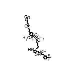 COc1cc(/C=C/COC(=O)CCCO[N+](=O)[O-])ccc1OC(=O)C(C)NC(=O)CCC/C=C\C[C@@H]1[C@@H](/C=C/[C@@H](O)CCc2cccc(C(F)(F)F)c2)[C@H](O)C[C@@H]1O